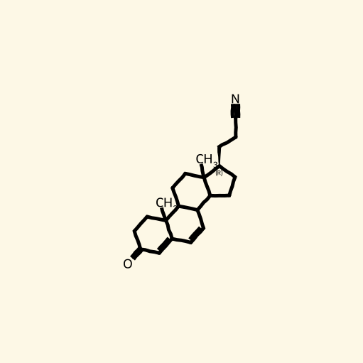 CC12CCC(=O)C=C1C=CC1C2CCC2(C)C1CC[C@@H]2CCC#N